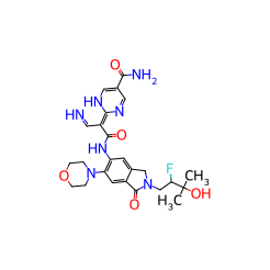 CC(C)(O)[C@H](F)CN1Cc2cc(NC(=O)/C(C=N)=C3\N=CC(C(N)=O)=CN3)c(N3CCOCC3)cc2C1=O